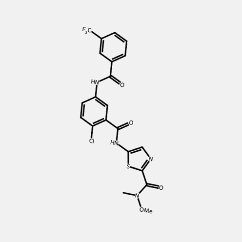 CON(C)C(=O)c1ncc(NC(=O)c2cc(NC(=O)c3cccc(C(F)(F)F)c3)ccc2Cl)s1